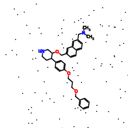 CN(C)Cc1ccc2ccc(COC3CNCCC3c3ccc(OCCCOCc4ccccc4)cc3)cc2c1